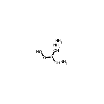 N.N.N.OOB(O)O